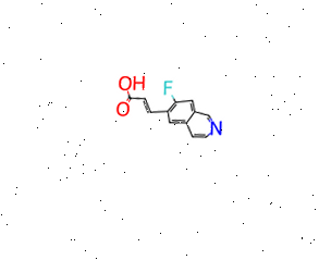 O=C(O)/C=C/c1cc2ccncc2cc1F